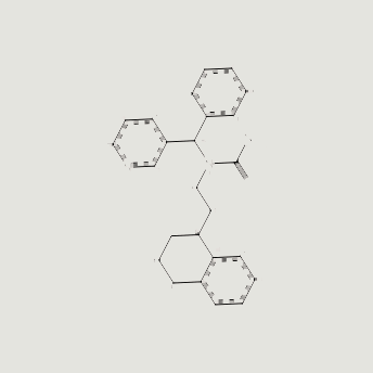 NC(=O)N(CCC1CCCc2ccccc21)C(c1ccccc1)c1cccnc1